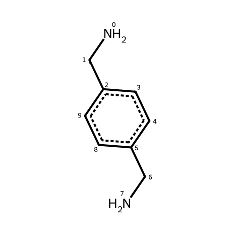 N[CH]c1ccc(CN)cc1